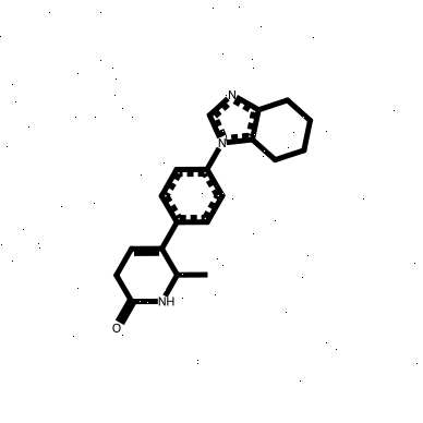 CC1NC(=O)CC=C1c1ccc(-n2cnc3c2CCCC3)cc1